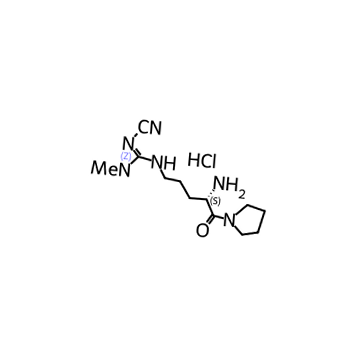 CN/C(=N/C#N)NCCC[C@H](N)C(=O)N1CCCC1.Cl